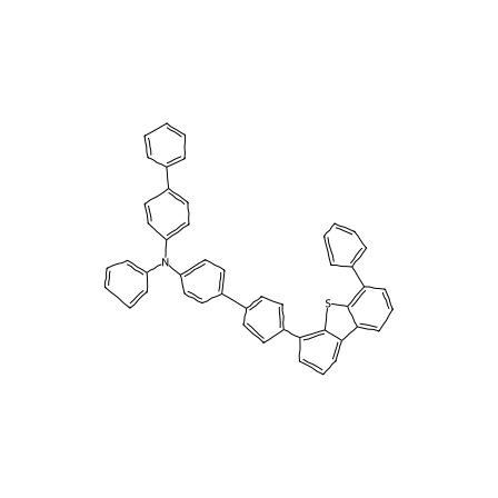 c1ccc(-c2ccc(N(c3ccccc3)c3ccc(-c4ccc(-c5cccc6c5sc5c(-c7ccccc7)cccc56)cc4)cc3)cc2)cc1